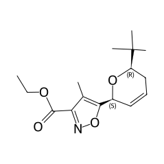 CCOC(=O)c1noc([C@@H]2C=CC[C@H](C(C)(C)C)O2)c1C